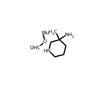 CC(C)(C)OC=O.CC1(N)CCCNC1